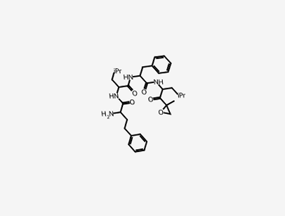 CC(C)CC(NC(=O)C(N)CCc1ccccc1)C(=O)NC(Cc1ccccc1)C(=O)NC(CC(C)C)C(=O)C1(C)CO1